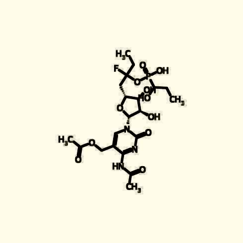 CCC(O)P(=O)(O)OC(F)(CC)C[C@H]1O[C@@H](n2cc(COC(C)=O)c(NC(C)=O)nc2=O)[C@H](O)[C@@H]1O